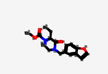 CC(C)C[C@H](NC(=O)OC(C)(C)C)C(=O)N(Cc1ccc2occc2c1)CC(C)C